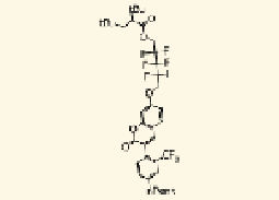 CCCCCc1ccc(-c2cc3ccc(OCC(F)(F)C(F)(F)C(F)(F)COC(=O)C(CC(C)(C)C)C(C)(C)C)cc3oc2=O)c(C(F)(F)F)c1